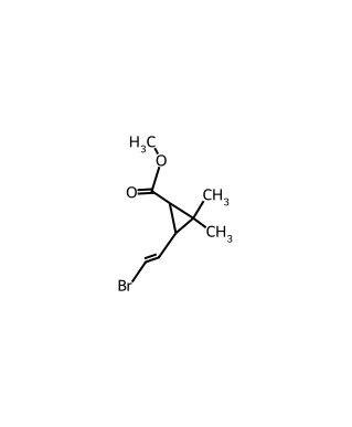 COC(=O)C1C(C=CBr)C1(C)C